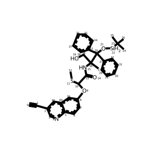 C#Cc1cnc2ccc(OC(SC)C(=O)NC(C)(CO)C(O[SiH2]C(C)(C)C)(c3ccccc3)c3ccccc3)cc2c1